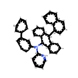 c1ccc(-c2cccc(N(c3ccccn3)c3c4ccccc4c(-c4cccc5ccccc45)c4ccccc34)c2)cc1